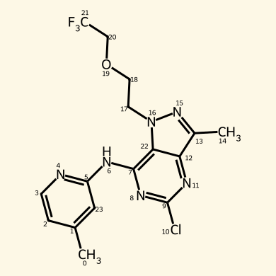 Cc1ccnc(Nc2nc(Cl)nc3c(C)nn(CCOCC(F)(F)F)c23)c1